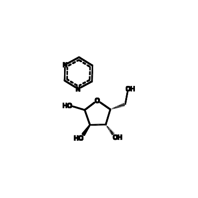 OC[C@H]1OC(O)[C@H](O)[C@H]1O.c1cncnc1